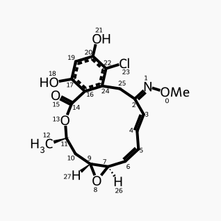 CON=C1/C=C/C=C\[C@H]2O[C@@H]2C[C@@H](C)OC(=O)c2c(O)cc(O)c(Cl)c2C1